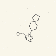 O=Cc1ccnn1C1CCC2(CCCC2)CC1